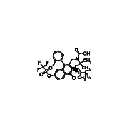 CC(C)Cn1c(CN(C(=O)O)C(C)(C)C)c(-c2ccccc2F)c2cc(OS(=O)(=O)C(F)(F)F)ccc2c1=O